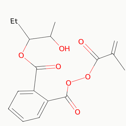 C=C(C)C(=O)OOC(=O)c1ccccc1C(=O)OC(CC)C(C)O